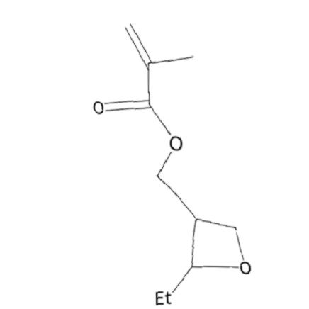 C=C(C)C(=O)OCC1COC1CC